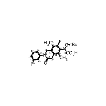 Cc1c(I)c(C(OC(C)(C)C)C(=O)O)c(C)c2c1CN(c1cccc(F)c1)C(=O)C2